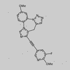 COc1ccc2c(c1)-n1nncc1Cc1c(C#Cc3cnc(OC)c(F)c3)ncn1-2